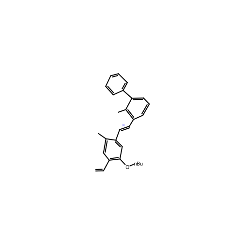 C=Cc1cc(C)c(/C=C/c2cccc(-c3ccccc3)c2C)cc1OCCCC